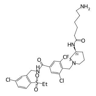 CCS(=O)(=O)c1ccc(Cl)cc1CNC(=O)c1cc(Cl)c(CN2CCC[C@H](NC(=O)CCCCCN)C2)c(C(F)(F)F)c1